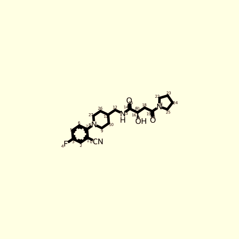 N#Cc1cc(F)ccc1N1CCC(CNC(=O)[C@H](O)CC(=O)N2CCCC2)CC1